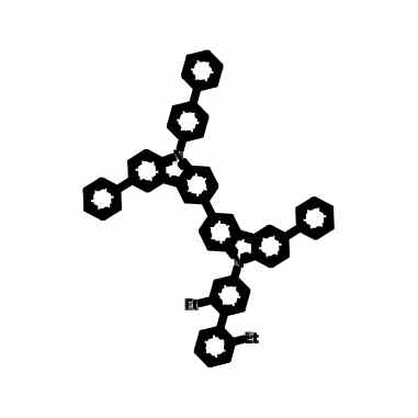 CCc1ccccc1-c1ccc(-n2c3ccc(-c4ccccc4)cc3c3cc(-c4ccc5c(c4)c4cc(-c6ccccc6)ccc4n5-c4ccc(-c5ccccc5)cc4)ccc32)cc1CC